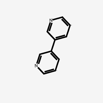 [c]1cncc(-c2c[c]cnc2)c1